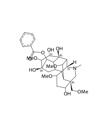 COC[C@]12CN(C)[C@H]3C4C(OC)C1C3(C(OC)CC2O)C1C[C@@]2(O)C(OC(=O)c3ccccc3)C1[C@]4(O)[C@@H](O)C2OC